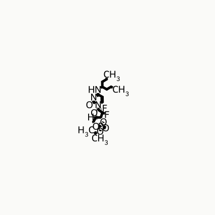 CCCC(CCC)Nc1ccn([C@@H]2O[C@@H]3COP(=O)(OC(C)C)OC3C2(F)F)c(=O)n1